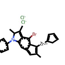 CC1=[C]([Zr+2][C]2=CC=CC2)c2c(Br)c3c(cc2=C1)N(c1ccccc1)C(C)C=3C.[Cl-].[Cl-]